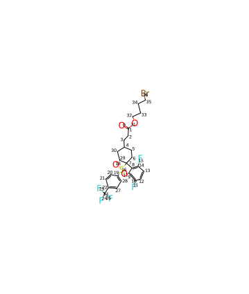 O=C(CCC1CCC(c2cc(F)ccc2F)(S(=O)(=O)c2ccc(C(F)(F)F)cc2)CC1)OCCCCBr